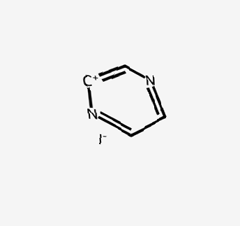 [C+]1=CN=CC=N1.[I-]